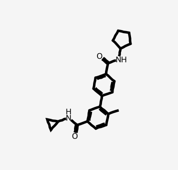 Cc1ccc(C(=O)NC2CC2)cc1-c1ccc(C(=O)NC2CCCC2)cc1